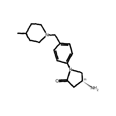 CC1CCN(Cc2ccc(N3C[C@H](N)CC3=O)cc2)CC1